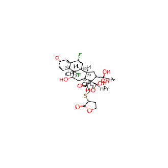 CCCC(O)(O)C1C[C@H]2[C@@H]3CC(F)C4=CC(=O)C=C[C@]4(C)[C@@]3(F)C(O)C[C@]2(C)[C@]1(C(=O)CSC1CCOC1=O)C(O)(O)CCC